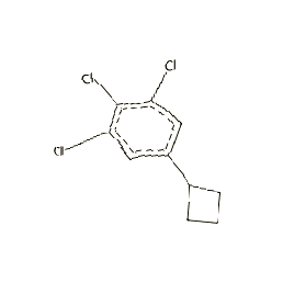 Clc1cc(C2CCC2)cc(Cl)c1Cl